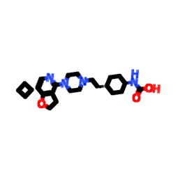 C1CCC1.O=C(O)N[C@H]1CC[C@H](CCN2CCN(c3nccc4c3CCO4)CC2)CC1